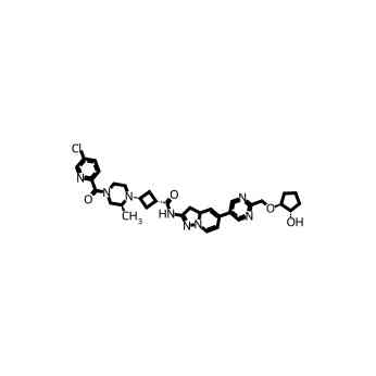 C[C@H]1CN(C(=O)c2ccc(Cl)cn2)CCN1[C@H]1C[C@@H](C(=O)NC2=NN3C=CC(c4cnc(CO[C@H]5CCC[C@@H]5O)nc4)=CC3C2)C1